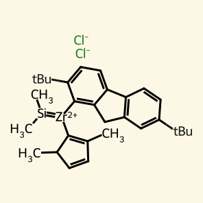 CC1=[C]([Zr+2]([c]2c(C(C)(C)C)ccc3c2Cc2cc(C(C)(C)C)ccc2-3)=[Si](C)C)C(C)C=C1.[Cl-].[Cl-]